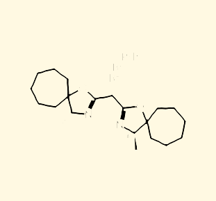 C[C@H]1N=C(CC2=N[C@H](C)C3(CCCCCC3)O2)OC12CCCCCC2.[Br-].[Br-].[Pd+2]